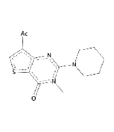 CC(=O)c1csc2c(=O)n(C)c(N3CCCCC3)nc12